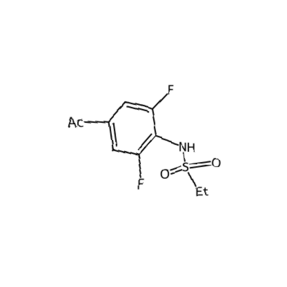 CCS(=O)(=O)Nc1c(F)cc(C(C)=O)cc1F